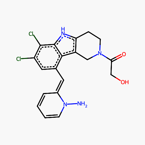 NN1C=CC=C/C1=C\c1cc(Cl)c(Cl)c2[nH]c3c(c12)CN(C(=O)CO)CC3